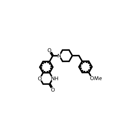 COc1ccc(CC2CCN(C(=O)c3ccc4c(c3)NC(=O)CO4)CC2)cc1